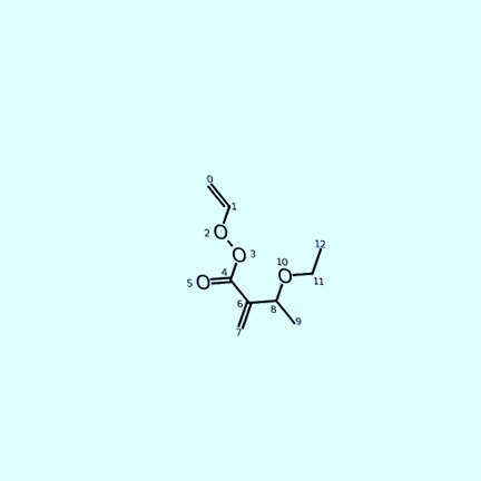 C=COOC(=O)C(=C)C(C)OCC